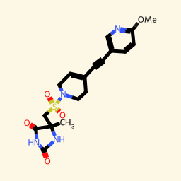 COc1ccc(C#CC2=CCN(S(=O)(=O)CC3(C)NC(=O)NC3=O)CC2)cn1